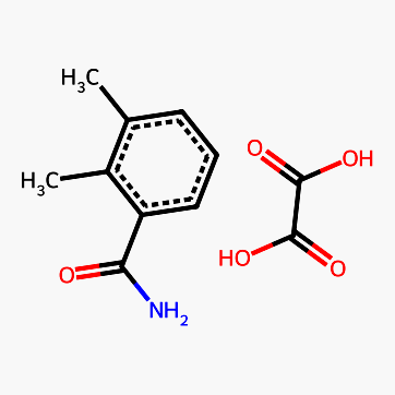 Cc1cccc(C(N)=O)c1C.O=C(O)C(=O)O